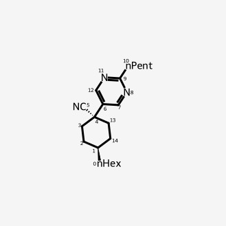 CCCCCC[C@H]1CC[C@@](C#N)(c2cnc(CCCCC)nc2)CC1